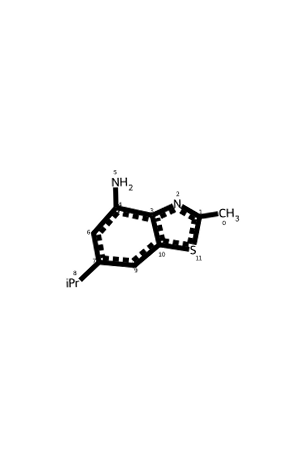 Cc1nc2c(N)cc(C(C)C)cc2s1